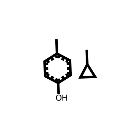 CC1CC1.Cc1ccc(O)cc1